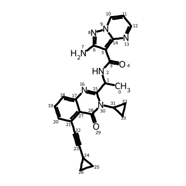 CC(NC(=O)c1c(N)nn2cccnc12)c1nc2cccc(C#CC3CC3)c2c(=O)n1C1CC1